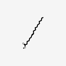 CCCCCCCCCC/C=C/CCCCCC(=O)OC